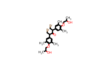 Cc1cc(C(CBr)C(=O)C(CBr)c2cc(C)c(OCC(C)O)c(C)c2)cc(C)c1OCC(C)O